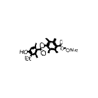 CCc1c(O)cc(C)c(C(=O)Oc2c(C)c(C)c(C(=O)OCOC)c(C)c2C)c1C